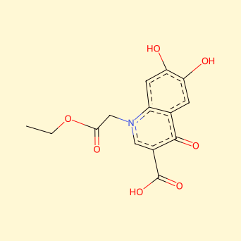 CCOC(=O)Cn1cc(C(=O)O)c(=O)c2cc(O)c(O)cc21